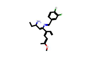 C=CC(=C\C=C(/C)OC)/C(=C/C(N)CC)/N=C/c1ccc(Cl)c(F)c1